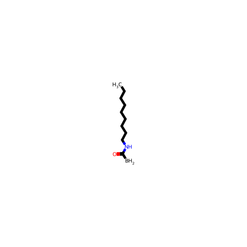 BC(=O)NCCCCCCCCC